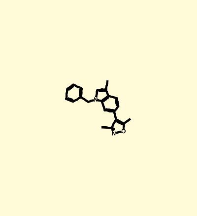 Cc1noc(C)c1-c1ccc2c(C)cn(Cc3ccccc3)c2c1